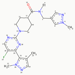 CCN(Cc1cnn(C)c1)C(=O)C1CCN(c2ncc(F)c(-c3c(C)cnn3C)n2)CC1